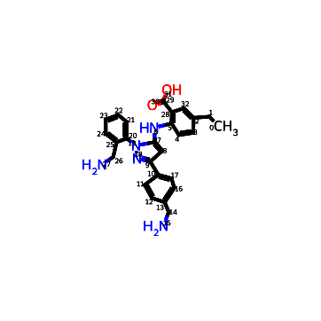 CCc1ccc(Nc2cc(-c3ccc(CN)cc3)nn2-c2ccccc2CN)c(C(=O)O)c1